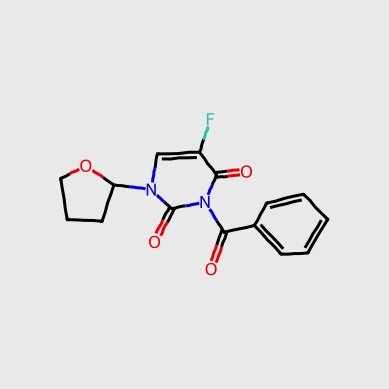 O=C(c1ccccc1)n1c(=O)c(F)cn(C2CCCO2)c1=O